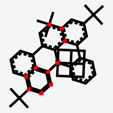 CC(C)(C)c1ccc(N(c2ccccc2-c2cc(C(C)(C)C)cc(C(C)(C)C)c2)c2ccccc2-c2cccc3cccc(C45CC6CC7CC(C4)C765)c23)cc1